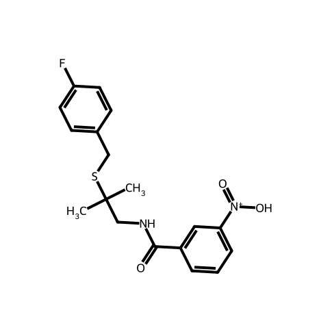 CC(C)(CNC(=O)c1cccc([N+](=O)O)c1)SCc1ccc(F)cc1